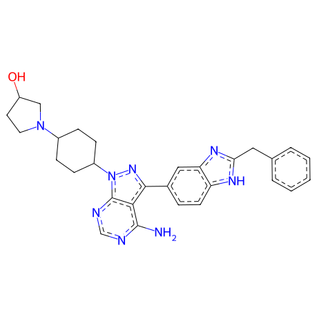 Nc1ncnc2c1c(-c1ccc3[nH]c(Cc4ccccc4)nc3c1)nn2C1CCC(N2CCC(O)C2)CC1